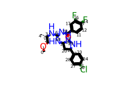 COC[C@H](C)N/C(=N/C(=O)c1ccc(F)c(F)c1)NC1CC(c2ccc(Cl)cc2)NN1